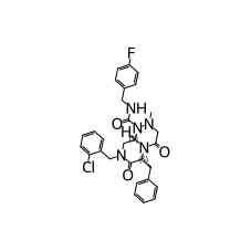 CN1CC(=O)N2[C@@H](Cc3ccccc3)C(=O)N(Cc3ccccc3Cl)C[C@@H]2N1C(=O)NCc1ccc(F)cc1